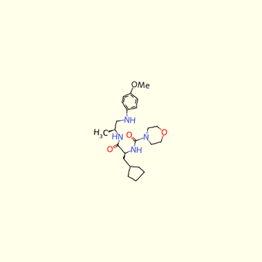 COc1ccc(NC[C@H](C)NC(=O)[C@H](CC2CCCC2)NC(=O)N2CCOCC2)cc1